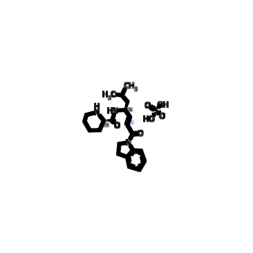 CC(C)C[C@@H](/C=C/C(=O)N1CCc2ccccc21)NC(=O)[C@@H]1CCCCN1.O=S(=O)(O)O